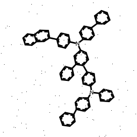 c1ccc(-c2ccc(N(c3ccccc3)c3ccc(-c4ccc(N(c5ccc(-c6ccccc6)cc5)c5ccc(-c6ccc7ccccc7c6)cc5)cc4-c4ccccc4)cc3)cc2)cc1